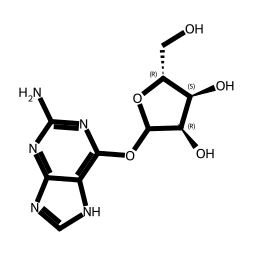 Nc1nc(OC2O[C@H](CO)[C@@H](O)[C@H]2O)c2[nH]cnc2n1